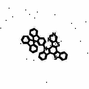 c1ccc2c(c1)-c1ccccc1C21c2ccccc2-c2ccc(-n3c4ccccc4c4c5sc6ccccc6c5c5sc6cncnc6c5c43)cc21